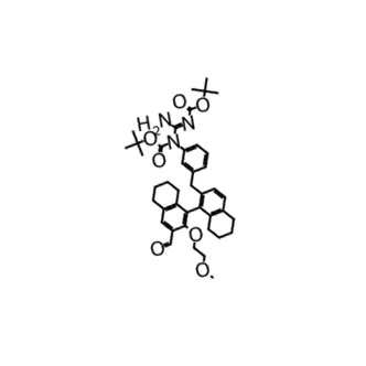 COCCOc1c(C=O)cc2c(c1-c1c(Cc3cccc(N(C(=O)OC(C)(C)C)C(N)=NC(=O)OC(C)(C)C)c3)ccc3c1CCCC3)CCCC2